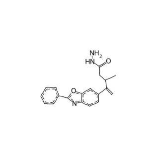 C=C(c1ccc2nc(-c3ccccc3)oc2c1)C(C)CC(=O)NN